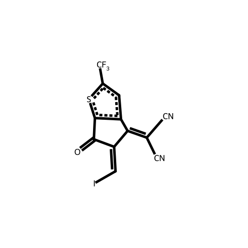 N#CC(C#N)=C1/C(=C/I)C(=O)c2sc(C(F)(F)F)cc21